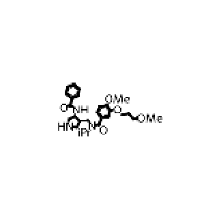 COCCCOc1cc(C(=O)N(C[C@H]2CNC[C@@H]2NC(=O)c2ccccc2)C(C)C)ccc1OC